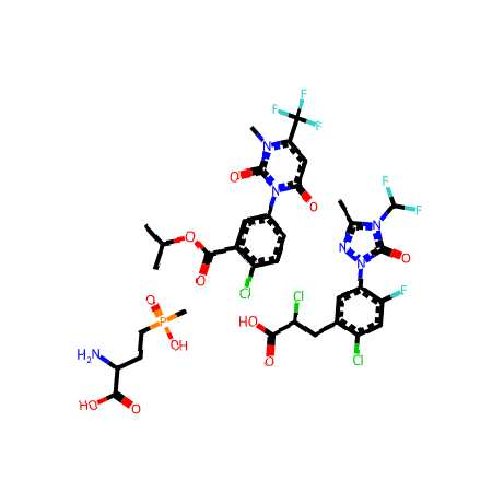 CC(C)OC(=O)c1cc(-n2c(=O)cc(C(F)(F)F)n(C)c2=O)ccc1Cl.CP(=O)(O)CCC(N)C(=O)O.Cc1nn(-c2cc(CC(Cl)C(=O)O)c(Cl)cc2F)c(=O)n1C(F)F